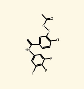 C=C(Nc1cc(F)c(F)c(F)c1)c1ccc(Cl)c(SOC(C)=O)c1